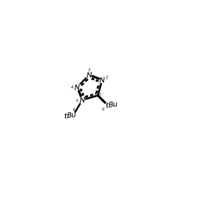 CC(C)(C)c1nnnn1C(C)(C)C